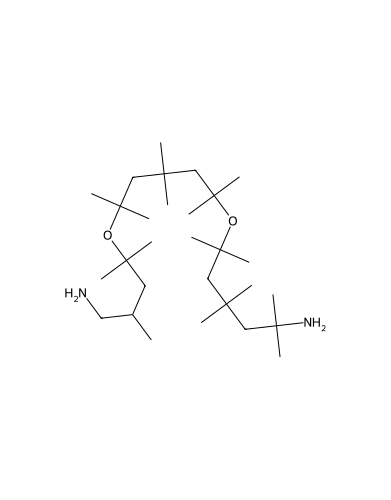 CC(CN)CC(C)(C)OC(C)(C)CC(C)(C)CC(C)(C)OC(C)(C)CC(C)(C)CC(C)(C)N